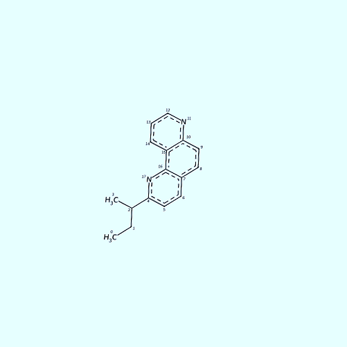 CCC(C)c1ccc2ccc3ncccc3c2n1